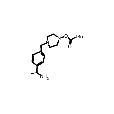 C[C@H](N)c1ccc(CN2CCN(OC(=O)C(C)(C)C)CC2)cc1